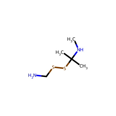 CNC(C)(C)SSCN